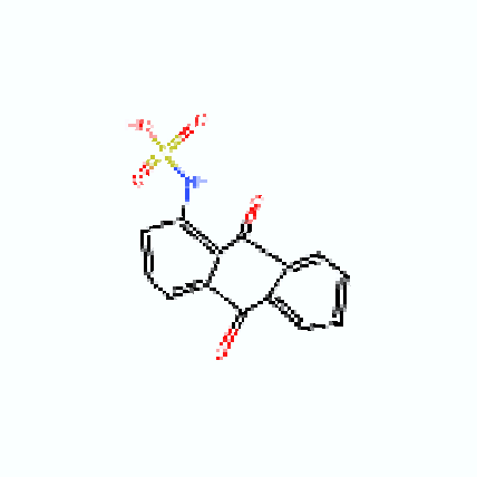 O=C1c2ccccc2C(=O)c2c(NS(=O)(=O)O)cccc21